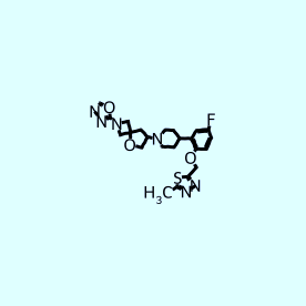 Cc1nnc(COc2ccc(F)cc2C2CCN(C3COC4(C3)CN(c3nnco3)C4)CC2)s1